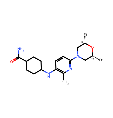 CC[C@@H]1CN(c2ccc(NC3CCC(C(N)=O)CC3)c(C)n2)C[C@H](CC)O1